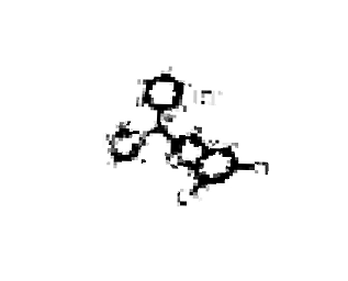 Cl.Clc1cc(Cl)c2oc(C(c3ccccc3)n3ccnc3)cc2c1